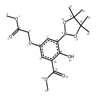 COC(=O)COc1cc(B2OC(C)(C)C(C)(C)O2)c(O)c(C(=O)OC)c1